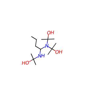 CCCC(NC(C)(C)O)N(C(C)(C)O)C(C)(C)O